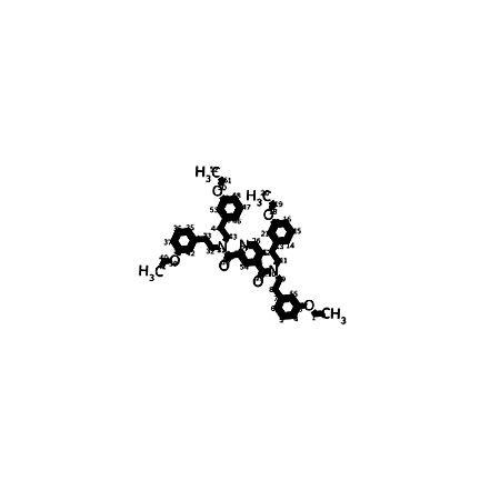 CCOc1cccc(CCN(CCc2cccc(OCC)c2)C(=O)c2ccnc(C(=O)N(CCc3cccc(OCC)c3)CCc3cccc(OCC)c3)c2)c1